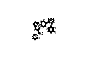 O=C(C1=CC2=CC=C[N@@+]2(N2CCC(c3nnnn3-c3cccc(F)c3)CC2)C1)N1CCSC1